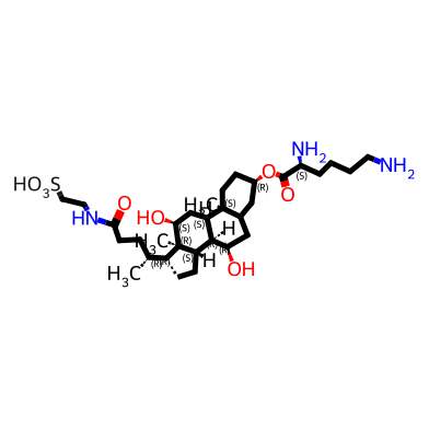 C[C@H](CCC(=O)NCCS(=O)(=O)O)[C@H]1CC[C@H]2[C@@H]3[C@H](O)CC4C[C@H](OC(=O)[C@@H](N)CCCCN)CC[C@]4(C)[C@H]3C[C@H](O)[C@]12C